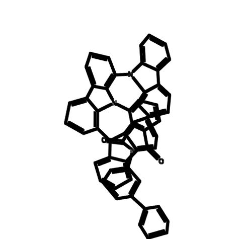 O=C1c2cccc(-n3c4c(-n5c6ccccc6c6ccccc65)cccc4c4cccc(-n5c6ccccc6c6ccccc65)c43)c2C(=O)N1c1cccc(-c2ccccc2)c1